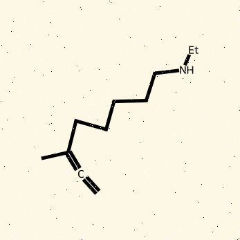 C=C=C(C)CCCCCNCC